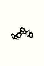 C1=Cc2c(nc3cc4c(cc23)c2cccc3c5nc6ccccc6nc5n4c23)=CC1